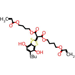 C=CC(=O)OCCCCOC(=O)C(C(=O)OCCCCOC(=O)C=C)=C1Sc2c(O)cc(C(C)(C)C)c(O)c2S1